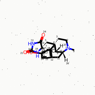 CN1CC[C@]23C[C@]4(CC[C@H]2[C@H]1Cc1ccc(O)cc13)NC(=O)NC4=O